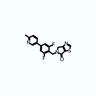 Cc1ccc(-c2cc(F)c(CN3Cc4ncsc4C3=O)c(F)c2)cn1